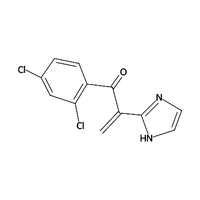 C=C(C(=O)c1ccc(Cl)cc1Cl)c1ncc[nH]1